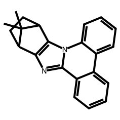 CC1(C)C2CCC1c1c2nc2c3ccccc3c3ccccc3n12